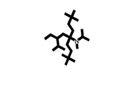 CCC(CC(CCC(C)(C)C)(CCC(C)(C)C)N(C)C(C)C)C(C)C